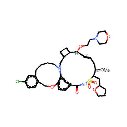 CO[C@@H]1C/C=C/[C@H](OCCN2CCOCC2)C2CCC2CN2CCCCc3cc(Cl)ccc3COc3ccc(cc32)C(=O)NS(=O)(=O)C1CC1CCCO1